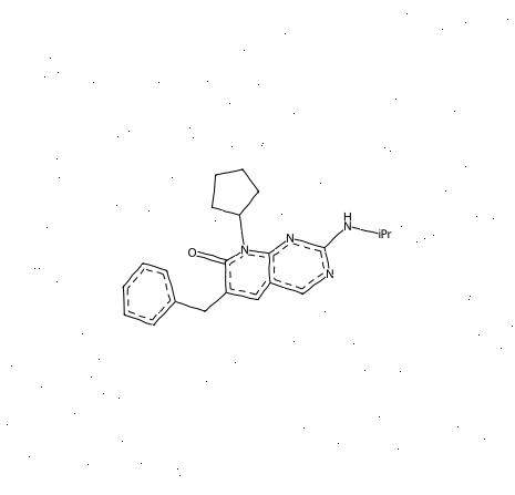 CC(C)Nc1ncc2cc(Cc3ccccc3)c(=O)n(C3CCCC3)c2n1